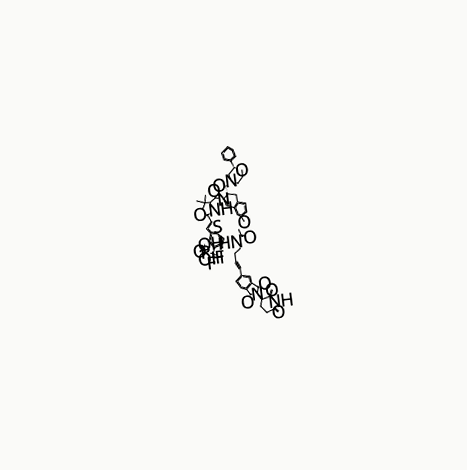 CC(C)(C)[C@H](NC(=O)c1cc2cc(C(F)(F)P(=O)(O)O)ccc2s1)C(=O)N1Cc2cc(OCC(=O)NCCC#Cc3ccc4c(c3)C(=O)N(C3CCC(=O)NC3=O)C4=O)ccc2C[C@H]1C(=O)N1CCO[C@H](c2ccccc2)C1